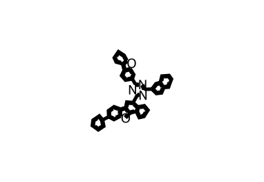 c1ccc(-c2ccc3c(c2)oc2c4ccccc4c(-c4nc(-c5ccc6ccccc6c5)nc(-c5ccc6c(c5)oc5ccccc56)n4)cc32)cc1